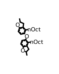 CCCCCCCCc1c(Oc2ccc3c(c2CCCCCCCC)CC(C)O3)ccc2c1CC(C)O2